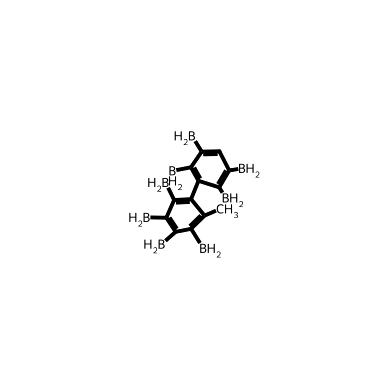 Bc1cc(B)c(B)c(-c2c(B)c(B)c(B)c(B)c2C)c1B